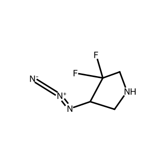 [N-]=[N+]=NC1CNCC1(F)F